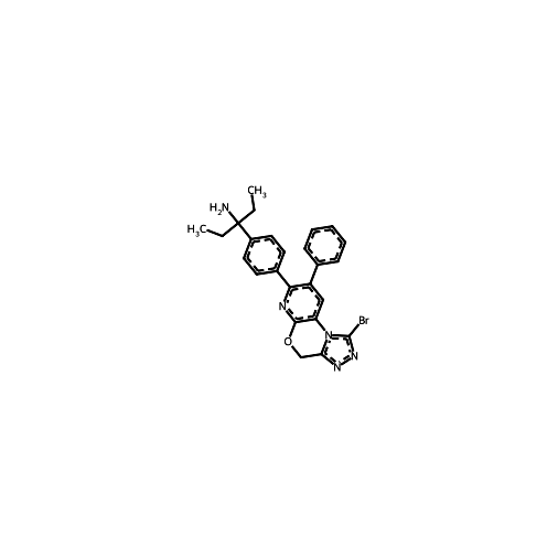 CCC(N)(CC)c1ccc(-c2nc3c(cc2-c2ccccc2)-n2c(Br)nnc2CO3)cc1